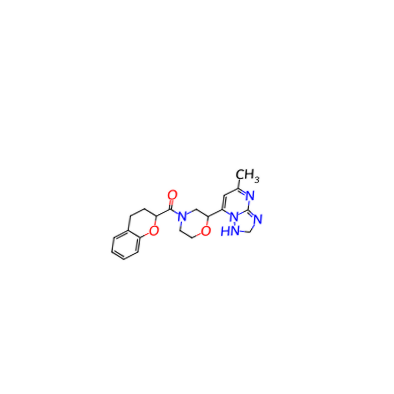 CC1=NC2=NCNN2C(C2CN(C(=O)C3CCc4ccccc4O3)CCO2)=C1